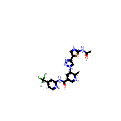 CC(=O)Nc1ncc(-c2cn(-c3cc(C(=O)Nc4cc(C(F)(F)F)ccn4)cnc3C)nn2)s1